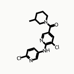 CC1CCCN(C(=O)c2cnc(Nc3ccc(Cl)nc3)c(Cl)c2)C1